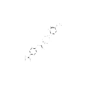 N#Cc1ccc(N2CCN(C(=O)Cc3ccc(C4(F)CC4)cc3)CC2)nn1